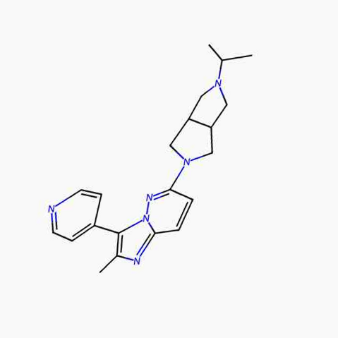 Cc1nc2ccc(N3CC4CN(C(C)C)CC4C3)nn2c1-c1ccncc1